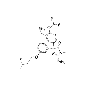 CN1C(=O)[C@](c2cccc(OCCC(F)F)c2)(c2ccc(OC(F)F)c(CN)c2)N=C1N